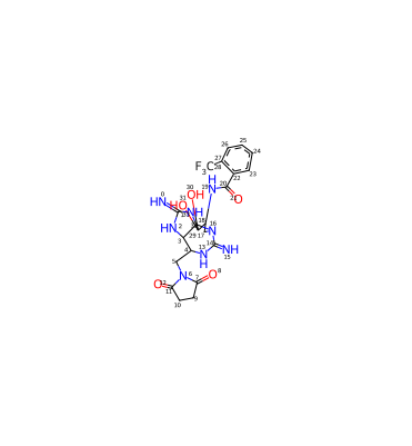 N=C1NC2C(CN3C(=O)CCC3=O)NC(=N)N3CC(NC(=O)c4ccccc4C(F)(F)F)C(O)(O)C23N1